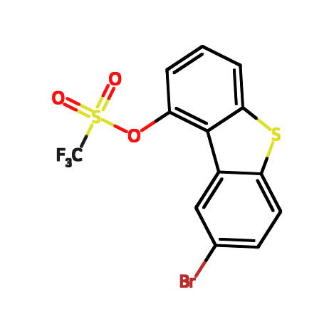 O=S(=O)(Oc1cccc2sc3ccc(Br)cc3c12)C(F)(F)F